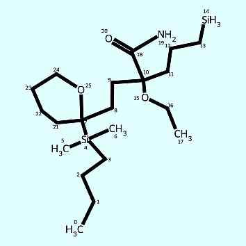 CCCC[Si](C)(C)C1(CCC(CCC[SiH3])(OCC)C(N)=O)CCCCO1